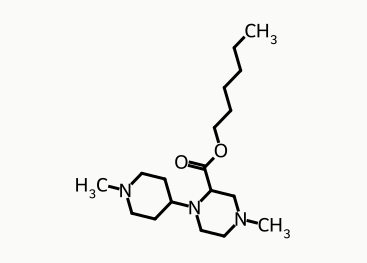 CCCCCCOC(=O)C1CN(C)CCN1C1CCN(C)CC1